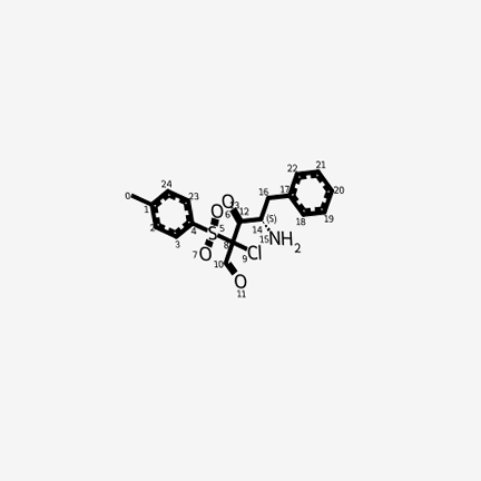 Cc1ccc(S(=O)(=O)C(Cl)(C=O)C(=O)[C@@H](N)Cc2ccccc2)cc1